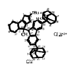 CC(C)(C)C1=CC2=C(C1)C1CCCCC1C2(C)C1c2ccc(C34CC5CC(CC(C5)C3)C4)cc2-c2cc(C34CC5CC(CC(C5)C3)C4)ccc21.[Cl-].[Cl-].[Zr+2]